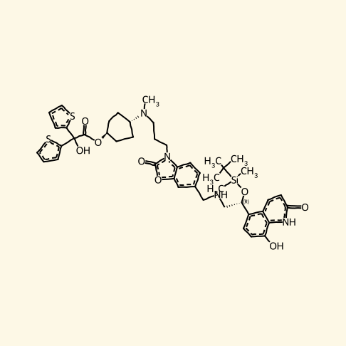 CN(CCCn1c(=O)oc2cc(CNC[C@H](O[Si](C)(C)C(C)(C)C)c3ccc(O)c4[nH]c(=O)ccc34)ccc21)[C@H]1CC[C@H](OC(=O)C(O)(c2cccs2)c2cccs2)CC1